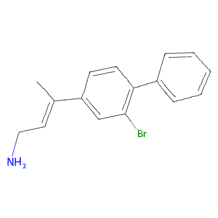 CC(=CCN)c1ccc(-c2ccccc2)c(Br)c1